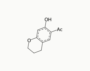 CC(=O)c1cc2c(cc1O)OCCC2